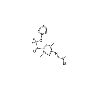 CCN(C)C=Nc1cc(C)c(C(=O)C2(Oc3ccccc3)CC2)cc1C